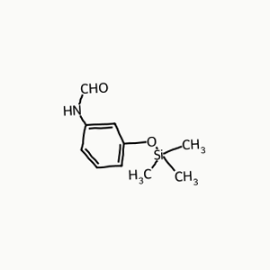 C[Si](C)(C)Oc1cccc(NC=O)c1